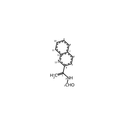 C=C(NC=O)c1ccc2ccccc2n1